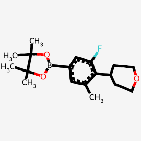 Cc1cc(B2OC(C)(C)C(C)(C)O2)cc(F)c1C1CCOCC1